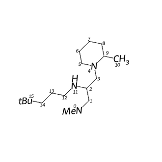 CNCC(CN1CCCCC1C)NCCCC(C)(C)C